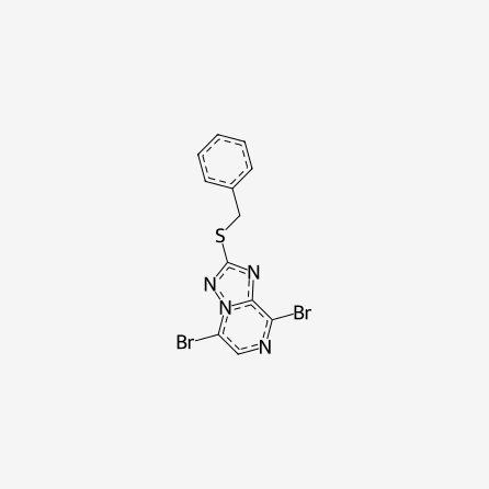 Brc1ncc(Br)n2nc(SCc3ccccc3)nc12